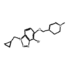 CN1CCC(COc2ccc3c(nnn3CC3CC3)c2Br)CC1